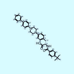 CC(C)(C)c1ccc(C(=O)N[C@@H](Cc2ccc(N3CCN(c4ccc(-c5ccccc5)cc4)CC3)cc2)C(=O)O)cc1